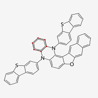 c1ccc(N(c2ccc3c(c2)sc2ccccc23)c2ccc3oc4cc5ccccc5cc4c3c2N(c2ccccc2)c2ccc3c(c2)sc2ccccc23)cc1